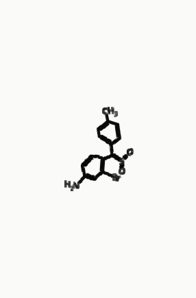 Cc1ccc(C(c2ccc(N)cc2Br)=S(=O)=O)cc1